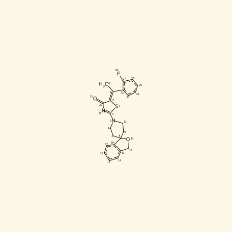 C/C(=C1/SC(N2CCC3(CC2)OCc2ccccc23)=NC1=O)c1ccccc1F